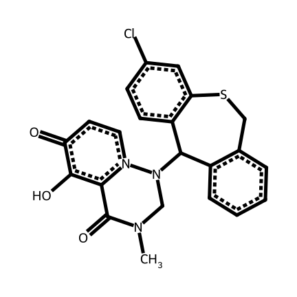 CN1CN(C2c3ccccc3CSc3cc(Cl)ccc32)n2ccc(=O)c(O)c2C1=O